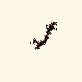 COc1ccc(Nc2ccc3c(O)c(N=Nc4cc(OC)c(N=Nc5cc(C)c(N=Nc6cc(C)c(N=Nc7ccc(C(=O)Nc8ccc9cc(S(=O)(=O)O)cc(OCCCCS(=O)(=O)O)c9c8)cc7)c(C)c6)cc5OC)cc4OC)c(S(=O)(=O)O)cc3c2)cc1